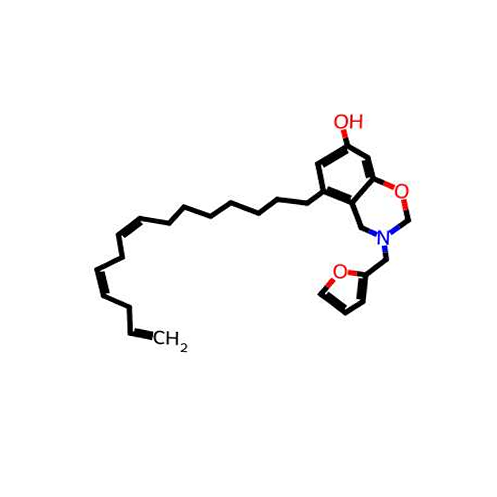 C=CC/C=C\C/C=C\CCCCCCCc1cc(O)cc2c1CN(Cc1ccco1)CO2